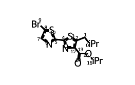 CC(C)Cc1sc(-c2ncc(Br)s2)nc1C(=O)OC(C)C